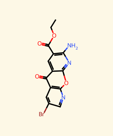 CCOC(=O)c1cc2c(=O)c3cc(Br)cnc3oc2nc1N